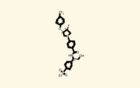 CCS(=O)(=O)c1ccc([C@H](CO)NC(=O)c2ccc(N3C[C@H](Oc4ccc(C(F)(F)F)cc4)[C@@H](F)C3)cc2)cc1